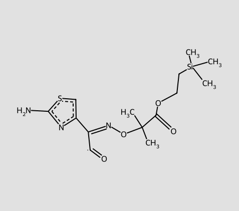 CC(C)(ON=C([C]=O)c1csc(N)n1)C(=O)OCC[Si](C)(C)C